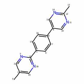 Cc1cnc(-c2ccc(-c3cnc(C)nc3)cc2)nc1